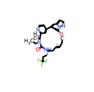 CCN1C(=O)N[C@@H](CCC(F)(F)F)C/C=C/CCOc2cc(cc3ccnn23)-c2ccnc(c2)[C@H]1C